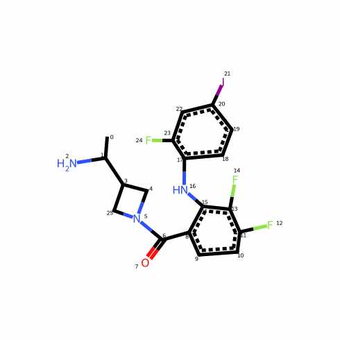 CC(N)C1CN(C(=O)c2ccc(F)c(F)c2Nc2ccc(I)cc2F)C1